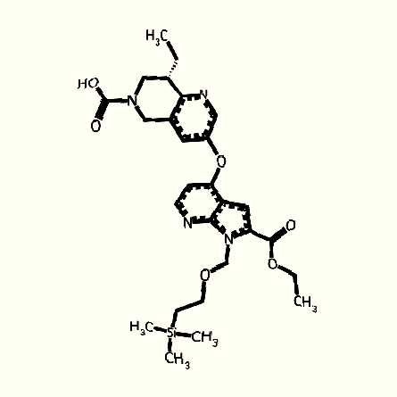 CCOC(=O)c1cc2c(Oc3cnc4c(c3)CN(C(=O)O)C[C@@H]4CC)ccnc2n1COCC[Si](C)(C)C